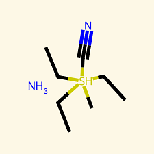 CC[SH](C)(C#N)(CC)CC.N